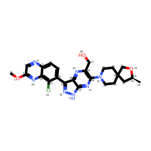 COc1cnc2ccc(-c3n[nH]c4nc(N5CCC6(CC5)CO[C@@H](C)C6)c(CO)nc34)c(Cl)c2n1